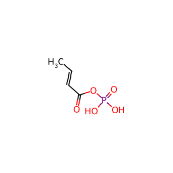 CC=CC(=O)OP(=O)(O)O